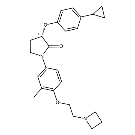 Cc1cc(N2CC[C@H](Oc3ccc(C4CC4)cc3)C2=O)ccc1OCCN1CCC1